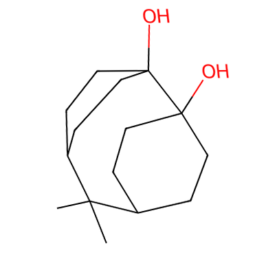 CC1(C)C2CCC(O)(CC2)C2(O)CCC1CC2